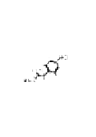 C=Cc1ccc(CC(N)CCCCCC)cc1